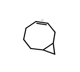 C1=C\CC2CC2CCC/1